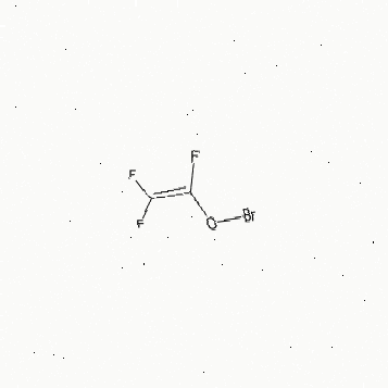 FC(F)=C(F)OBr